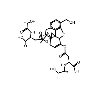 C[C@H](O)C(=O)N[C@@H](CC(=O)OC1=CC[C@@]2(OC(=O)C[C@H](NC(=O)[C@H](C)O)C(=O)O)[C@H]3Cc4ccc(CO)c5c4C2(CCN3C)C1O5)C(=O)O